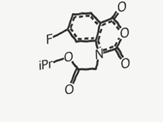 CC(C)OC(=O)Cn1c(=O)oc(=O)c2ccc(F)cc21